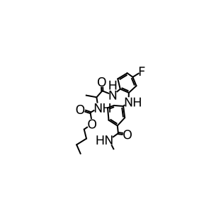 CCCCOC(=O)NC(C)C(=O)Nc1ccc(F)cc1Nc1cccc(C(=O)NC)c1